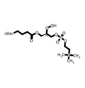 CCCCCCCCCCCCCC(=O)OC[C@H](COP(=O)([O-])OCC[N+](C)(C)C)OO